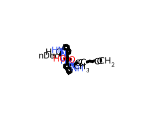 C=C=C=C=C=C=C=C=C=C=CC1(C)N=c2/c(=C3\C(=O)C(c4ccc5cccc6c5c4NC(C)(CCCCCCCCCCC)N6)=C3O)ccc3cccc(c23)N1